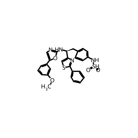 COc1cccc(-c2cnc(N[C@@H](Cc3ccc(N[SH](=O)=O)cc3)c3csc(-c4ccccc4)n3)o2)c1